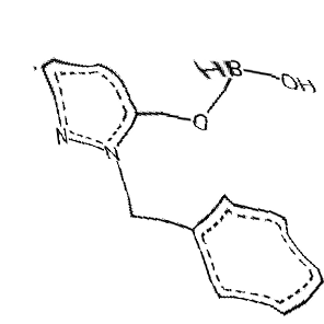 OBOc1c[c]nn1Cc1ccccc1